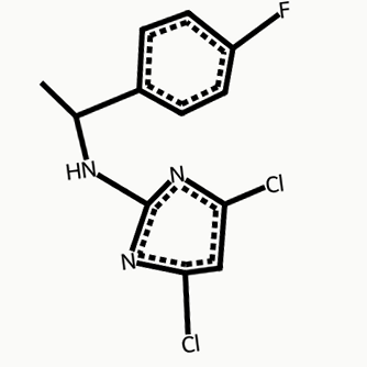 CC(Nc1nc(Cl)cc(Cl)n1)c1ccc(F)cc1